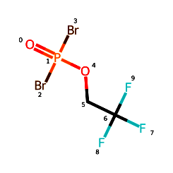 O=P(Br)(Br)OCC(F)(F)F